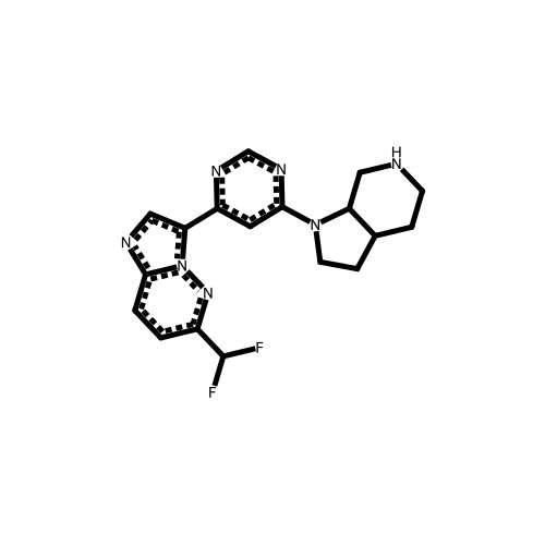 FC(F)c1ccc2ncc(-c3cc(N4CCC5CCNCC54)ncn3)n2n1